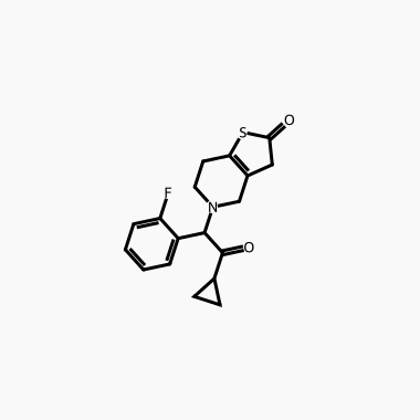 O=C1CC2=C(CCN(C(C(=O)C3CC3)c3ccccc3F)C2)S1